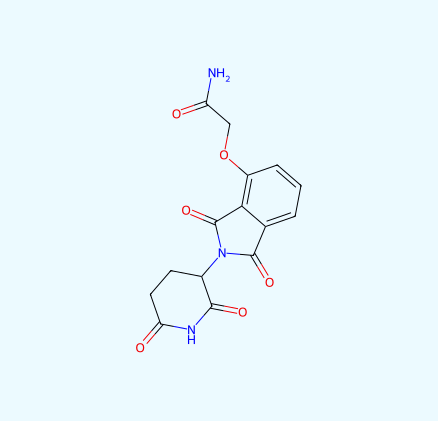 NC(=O)COc1cccc2c1C(=O)N(C1CCC(=O)NC1=O)C2=O